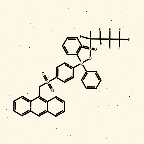 O=S(=O)(Cc1c2ccccc2cc2ccccc12)c1ccc(S(OS(=O)(=O)C(F)(F)C(F)(F)C(F)(F)C(F)(F)F)(c2ccccc2)c2ccccc2)cc1